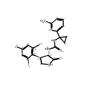 Cc1cccc(C2(NC(=O)N[C@@H]3C(=O)NC[C@H]3c3c(F)cc(Cl)cc3F)CC2)n1